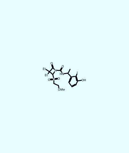 CCC1(CC)C(=O)N(C(=O)NC(C)c2cccc(O)c2I)C1S(=O)(=O)CCOC